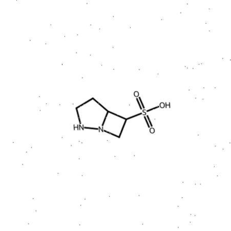 O=S(=O)(O)C1CN2NCCC12